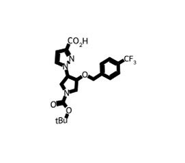 CC(C)(C)OC(=O)N1CC(OCc2ccc(C(F)(F)F)cc2)C(n2ccc(C(=O)O)n2)C1